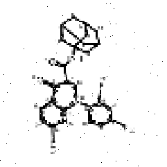 O=C(NC12CC3CC(CC(C3)C1)C2)c1cn(-c2ccc(F)cc2F)c2nc(Cl)ccc2c1=O